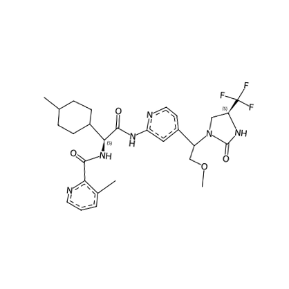 COCC(c1ccnc(NC(=O)[C@@H](NC(=O)c2ncccc2C)C2CCC(C)CC2)c1)N1C[C@@H](C(F)(F)F)NC1=O